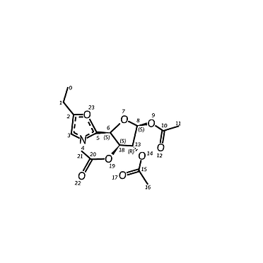 CCc1cnc([C@H]2O[C@@H](OC(C)=O)[C@H](OC(C)=O)[C@H]2OC(C)=O)o1